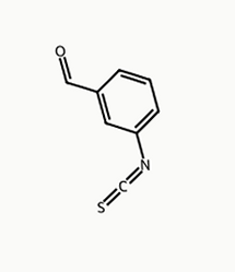 O=Cc1cccc(N=C=S)c1